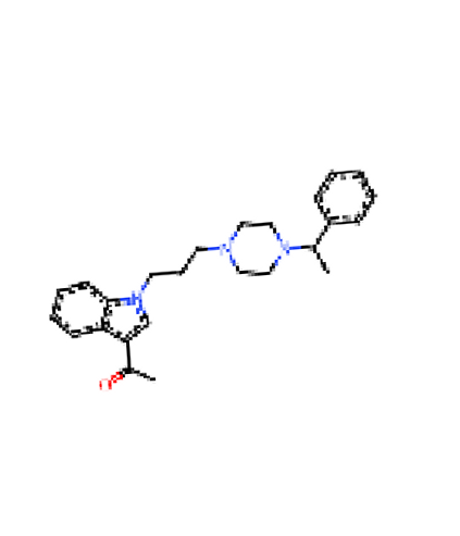 CC(=O)c1cn(CCCN2CCN(C(C)c3ccccc3)CC2)c2ccccc12